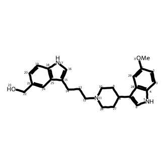 COc1ccc2[nH]cc(C3CCN(CCCc4c[nH]c5ccc(CO)cc45)CC3)c2c1